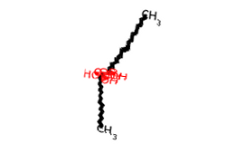 CCCCCCCCCCCCCCCCCC(O)(OO)OC(CCCCCCCCCCCCCCCCC)(OO)OO